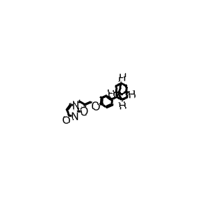 O=c1ccn2c(n1)OC(COc1ccc(C3[C@H]4C[C@@H]5C[C@@H](C[C@H]3C5)C4)cc1)C2